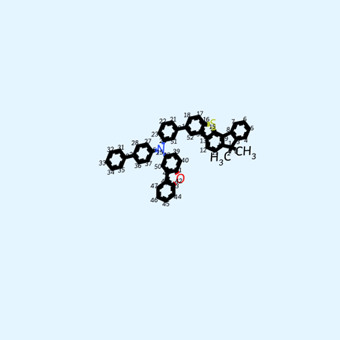 CC1(C)c2ccccc2-c2c1ccc1c2sc2ccc(-c3cccc(N(c4ccc(-c5ccccc5)cc4)c4ccc5oc6ccccc6c5c4)c3)cc21